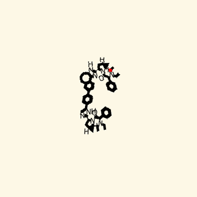 CCN(CC)[C@@H](C(=O)N1[C@@H]2C[C@@H]2C[C@H]1c1ncc(-c2ccc(-c3ccc4c(c3)CCCc3[nH]c([C@@H]5C[C@H]6C[C@H]6N5C(=O)[C@@H](c5ccccc5)N(CC)CC)nc3-4)cc2)[nH]1)c1ccccc1